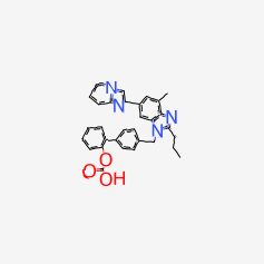 CCCc1nc2c(C)cc(-c3cn4ccccc4n3)cc2n1Cc1ccc(-c2ccccc2OC(=O)O)cc1